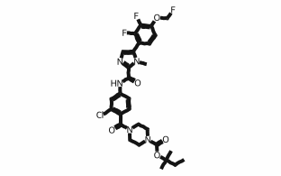 CCC(C)(C)OC(=O)N1CCN(C(=O)c2ccc(NC(=O)c3ncc(-c4ccc(OCF)c(F)c4F)n3C)cc2Cl)CC1